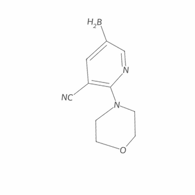 Bc1cnc(N2CCOCC2)c(C#N)c1